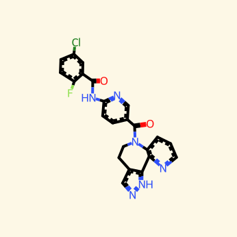 O=C(Nc1ccc(C(=O)N2CCc3cn[nH]c3-c3ncccc32)cn1)c1cc(Cl)ccc1F